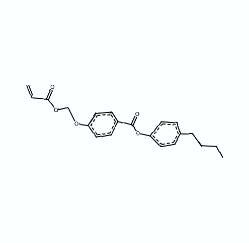 C=CC(=O)OCOc1ccc(C(=O)Oc2ccc(CCCC)cc2)cc1